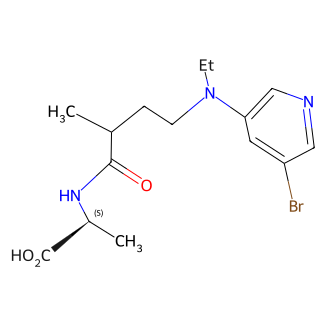 CCN(CCC(C)C(=O)N[C@@H](C)C(=O)O)c1cncc(Br)c1